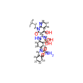 CC(C)CCn1c(=O)c(C2=NS(O)(O)c3cc(N(Cc4ccccc4)S(N)(=O)=O)ccc3N2)c(O)c2cccnc21